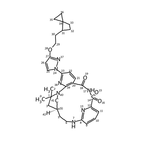 CC1(C)C[C@@H]2CCNc3cccc(n3)S(=O)(=O)NC(=O)c3ccc(-n4ccc(OCCC5CCC56CC6)n4)nc3N1C2